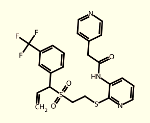 C=CC(c1cccc(C(F)(F)F)c1)S(=O)(=O)CCSc1ncccc1NC(=O)Cc1ccncc1